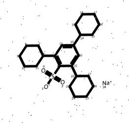 O=S(=O)([O-])c1c(C2CCCCC2)cc(C2CCCCC2)cc1C1CCCCC1.[Na+]